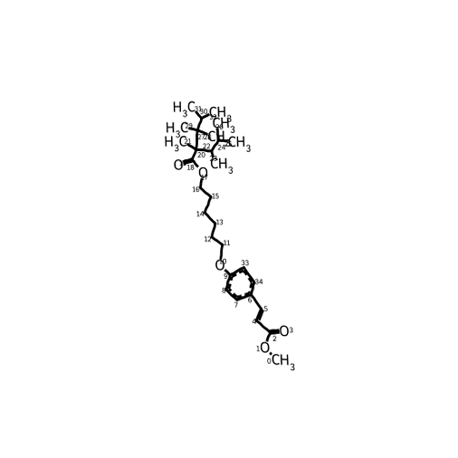 COC(=O)/C=C/c1ccc(OCCCCCCOC(=O)C(C)(C(C)C(C)C)C(C)(C)C(C)C)cc1